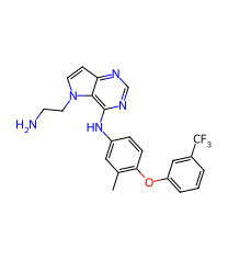 Cc1cc(Nc2ncnc3ccn(CCN)c23)ccc1Oc1cccc(C(F)(F)F)c1